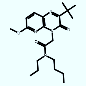 CCCCN(CCC)C(=O)Cn1c(=O)c(C(C)(C)C)nc2ccc(OC)nc21